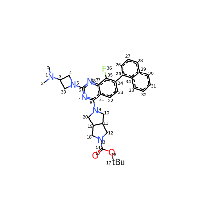 CN(C)C1CN(c2nc(N3CC4CN(C(=O)OC(C)(C)C)CC4C3)c3ccc(-c4cccc5ccccc45)c(F)c3n2)C1